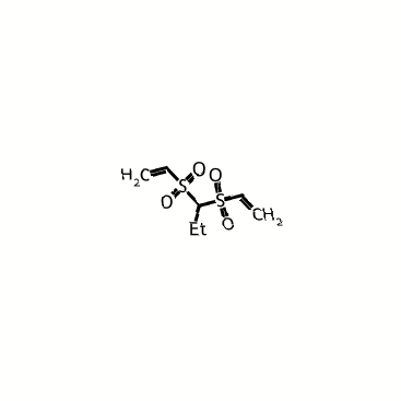 C=CS(=O)(=O)C(CC)S(=O)(=O)C=C